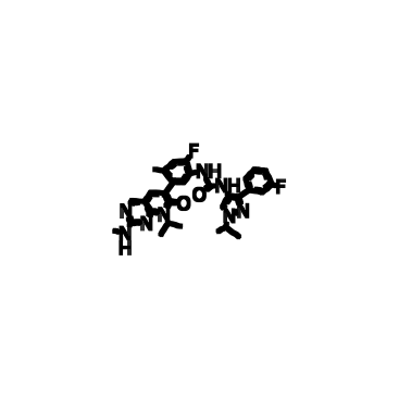 CNc1ncc2cc(-c3cc(NC(=O)Nc4cn(C(C)C)nc4-c4cccc(F)c4)c(F)cc3C)c(=O)n(C(C)C)c2n1